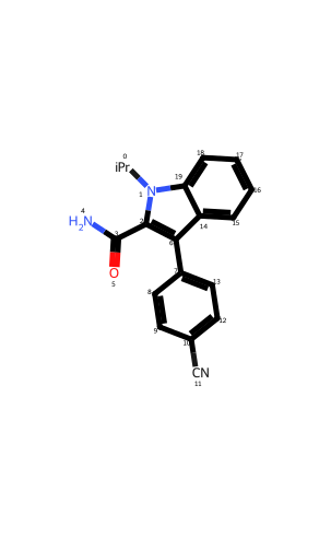 CC(C)n1c(C(N)=O)c(-c2ccc(C#N)cc2)c2cc[c]cc21